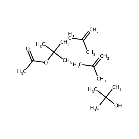 C=C(C)C.C=C(C)C.CC(=O)OC(C)(C)C.CC(C)(C)O